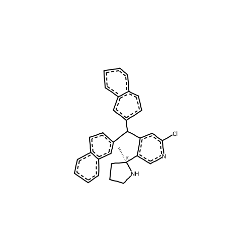 C[C@@]1(c2cnc(Cl)cc2C(c2ccc3ccccc3c2)c2ccc3ccccc3c2)CCCN1